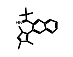 CC1=CC(C)C(c2cc3ccccc3cc2C(=N)C(C)(C)C)=C1C